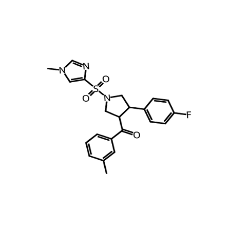 Cc1cccc(C(=O)C2CN(S(=O)(=O)c3cn(C)cn3)CC2c2ccc(F)cc2)c1